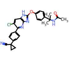 CC(=O)NC(C)(C)c1ccc(Oc2nc3nc(-c4ccc(C5(C#N)CC5)cc4)c(Cl)cc3[nH]2)cc1